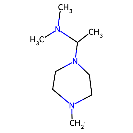 [CH2]N1CCN(C(C)N(C)C)CC1